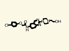 O=C(COc1ccc(Cl)cc1)Nc1ccc2nc(N3CCN(CCO)CC3)ncc2c1